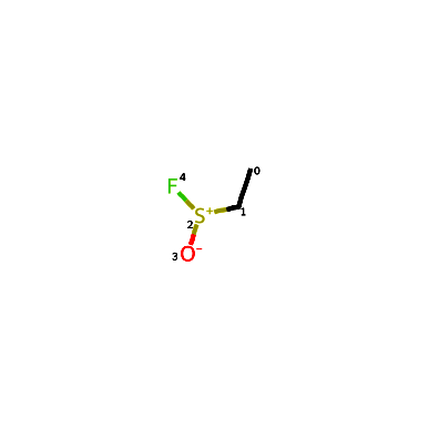 CC[S+]([O-])F